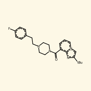 CC(C)(C)c1cn2cccc(C(=O)N3CCN(CCc4ccc(F)cc4)CC3)c2n1